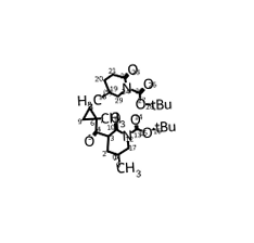 C[C@H]1CC(C(=O)C2(C)CC2)C(=O)N(C(=O)OC(C)(C)C)C1.C[C@H]1CCC(=O)N(C(=O)OC(C)(C)C)C1